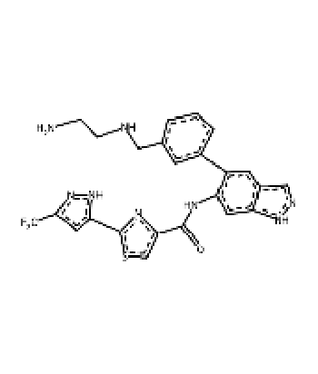 NCCNCc1cccc(-c2cc3cn[nH]c3cc2NC(=O)c2csc(-c3cc(C(F)(F)F)n[nH]3)n2)c1